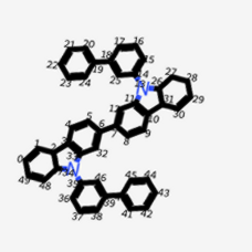 C1=CC2c3ccc(-c4ccc5c(c4)N(c4cccc(-c6ccccc6)c4)C4CCC=CC54)cc3N(c3cccc(-c4ccccc4)c3)C2C=C1